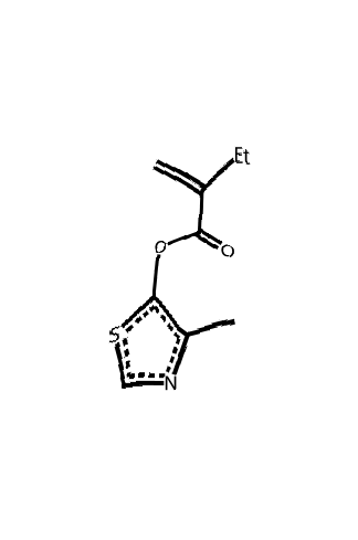 C=C(CC)C(=O)Oc1scnc1C